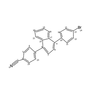 N#Cc1ccc(-c2ccc(-c3ccc(Br)cc3)c3ccccc23)cc1